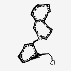 ClCc1ccccc1-[n+]1ccc2ccccc2c1